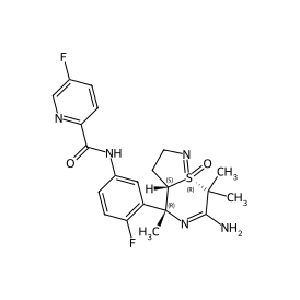 CC1(C)C(N)=N[C@](C)(c2cc(NC(=O)c3ccc(F)cn3)ccc2F)[C@@H]2CCN=[S@@]21=O